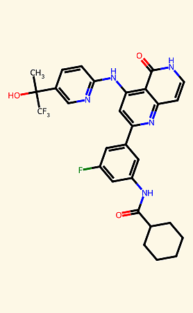 CC(O)(c1ccc(Nc2cc(-c3cc(F)cc(NC(=O)C4CCCCC4)c3)nc3cc[nH]c(=O)c23)nc1)C(F)(F)F